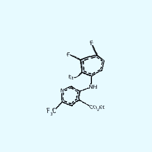 CCOC(=O)c1cc(C(F)(F)F)ncc1Nc1ccc(F)c(F)c1CC